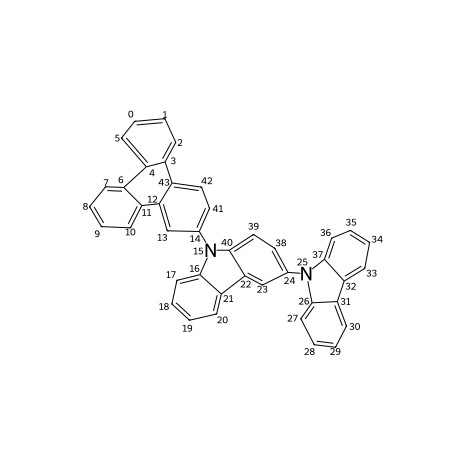 c1ccc2c(c1)c1ccccc1c1cc(-n3c4ccccc4c4cc(-n5c6ccccc6c6ccccc65)ccc43)ccc21